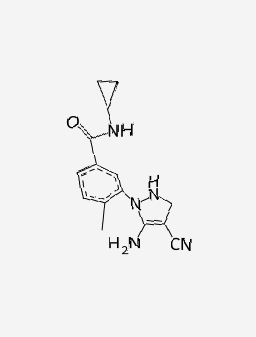 Cc1ccc(C(=O)NC2CC2)cc1N1NCC(C#N)=C1N